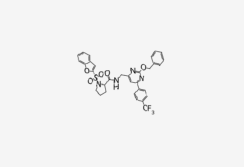 O=C(NCc1cc(-c2ccc(C(F)(F)F)cc2)nc(OCc2ccccc2)n1)C1CCCN1S(=O)(=O)c1cc2ccccc2o1